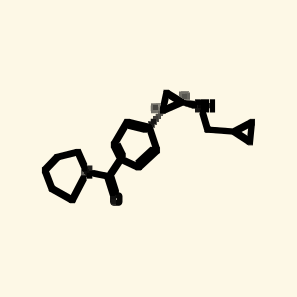 O=C(c1ccc([C@@H]2C[C@H]2NCC2CC2)cc1)N1CCCCC1